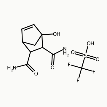 NC(=O)C1C2C=CC(O)(C2)C1C(N)=O.O=S(=O)(O)C(F)(F)F